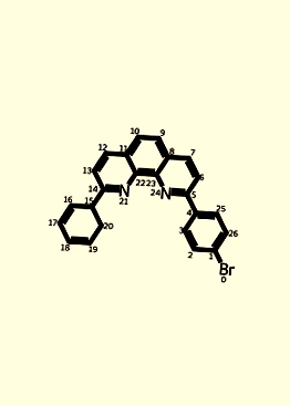 Brc1ccc(-c2ccc3ccc4ccc(C5C=CC=CC5)nc4c3n2)cc1